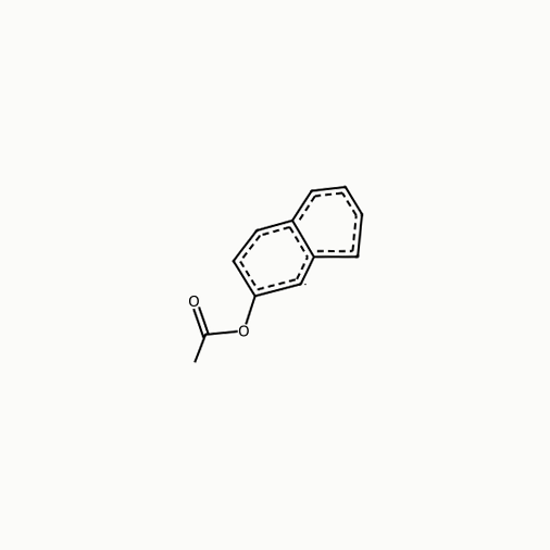 CC(=O)Oc1[c]c2ccccc2cc1